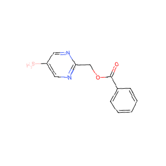 Bc1cnc(COC(=O)c2ccccc2)nc1